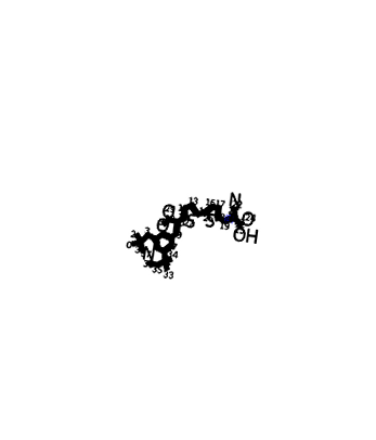 CC1(C)Cc2c3c(cc4cc(-c5ccc(-c6ccc(/C=C(\C#N)C(=O)O)s6)s5)c(=O)oc24)C(C)(C)CCN3C1